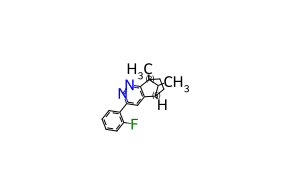 CC1[C@@H]2CC[C@@]1(C)c1nnc(-c3ccccc3F)cc12